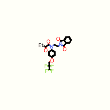 CCC(=O)C(=O)N(CCN1C(=O)c2ccccc2C1=O)c1ccc(OCC(F)(F)C(F)F)cc1